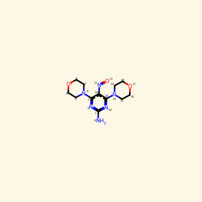 Nc1nc(N2CCOCC2)c(N=O)c(N2CCOCC2)n1